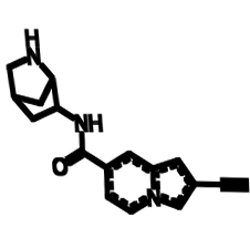 C#Cc1cc2cc(C(=O)NC3CC4CNC3C4)ccn2c1